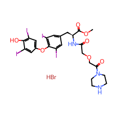 Br.COC(=O)[C@H](Cc1cc(I)c(Oc2cc(I)c(O)c(I)c2)c(I)c1)NC(=O)COCC(=O)N1CCNCC1